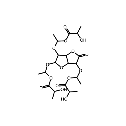 CC(OC(=O)C(C)O)OC1OC2C(OC(C)OC(=O)C(C)O)C(=O)OC2C1OC(C)OC(=O)C(C)O